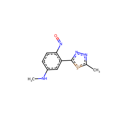 CNc1ccc(N=O)c(-c2nnc(C)s2)c1